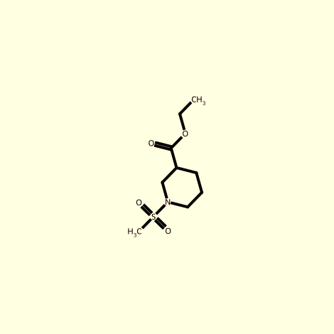 CCOC(=O)C1CCCN(S(C)(=O)=O)C1